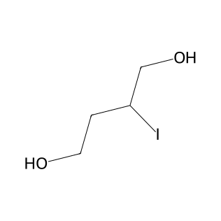 OCCC(I)CO